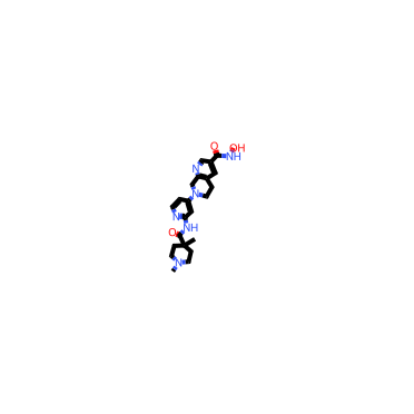 CN1CCC(C)(C(=O)Nc2cc(N3CCc4cc(C(=O)NO)cnc4C3)ccn2)CC1